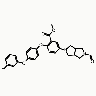 COC(=O)c1cc(N2CC3CN(C=O)CC3C2)cnc1Oc1ccc(Oc2cccc(F)c2)cc1